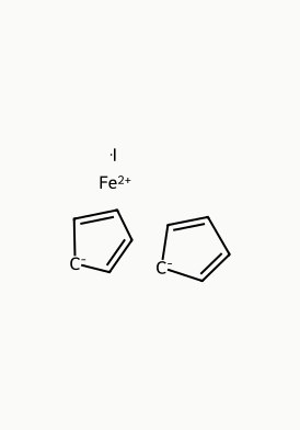 [Fe+2].[I].c1cc[cH-]c1.c1cc[cH-]c1